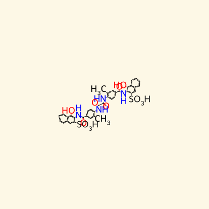 Cc1cc(C(=O)Nc2c(S(=O)(=O)O)cc3ccccc3c2O)ccc1NC(=O)C(=O)Nc1ccc(C(=O)Nc2c(S(=O)(=O)O)cc3ccccc3c2O)cc1C